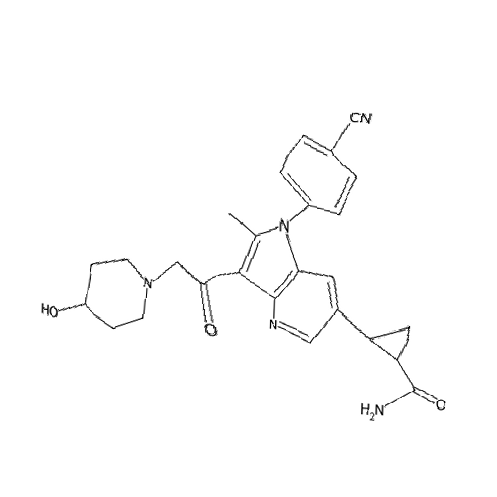 Cc1c(C(=O)CN2CCC(O)CC2)c2ncc(C3CC3C(N)=O)cc2n1-c1ccc(C#N)cc1